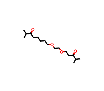 CC(C)C(=O)CCCCCOCCOCCC(=O)C(C)C